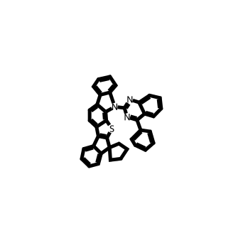 c1ccc(-c2nc(-n3c4ccccc4c4ccc5c6c(sc5c43)C3(CCCC3)c3ccccc3-6)nc3ccccc23)cc1